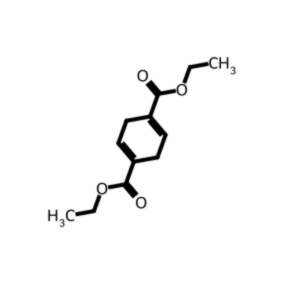 CCOC(=O)C1=CCC(C(=O)OCC)=CC1